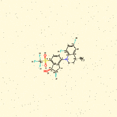 B[C@@H]1CCN(c2ccc(S(=O)(=O)C(F)(F)F)c3c2C[C@@H](F)[C@H]3O)c2c(F)cc(F)cc21